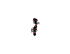 O=C(NCC1CC2C=CC1C2)NS(=O)(=O)N1CCC(CCNC(=O)c2cccc3cccnc23)CC1